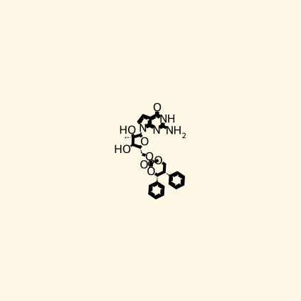 C[C@@]1(O)[C@H](O)[C@@H](COP2(=O)OC[C@H](c3ccccc3)[C@H](c3ccccc3)O2)O[C@H]1n1ccc2c(=O)[nH]c(N)nc21